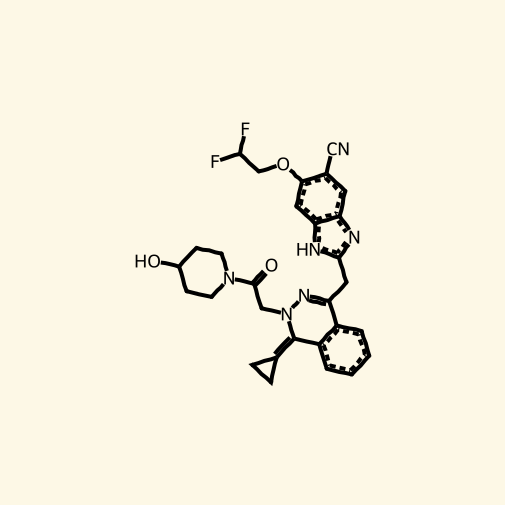 N#Cc1cc2nc(CC3=NN(CC(=O)N4CCC(O)CC4)C(=C4CC4)c4ccccc43)[nH]c2cc1OCC(F)F